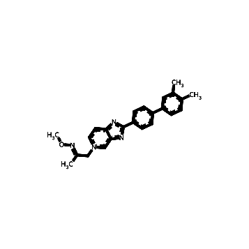 CON=C(C)Cn1ccc2nc(-c3ccc(-c4ccc(C)c(C)c4)cc3)nc-2c1